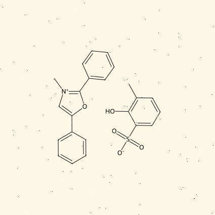 C[n+]1cc(-c2ccccc2)oc1-c1ccccc1.Cc1cccc(S(=O)(=O)[O-])c1O